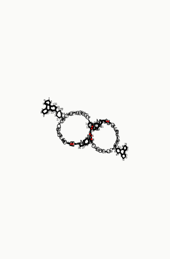 c1ccc2c(c1)c1ccccc1c1cc(C3CCC(N4CCOCCOCCOc5ccc(cc5)-c5ccc6ccc7ccc(nc7c6n5)C5(c6ccc(cc6)OCCOCCOCCN(c6ccc7c8ccccc8c8ccccc8c7c6)CCOCCOCCOc6ccc(cc6)-c6ccc7ccc8ccc5nc8c7n6)c5ccc(cc5)OCCOCCOCC4)CC3)ccc21